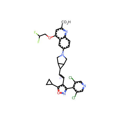 O=C(O)c1cc(OCC(F)F)c2cc(N3CC4C(/C=C/c5c(-c6c(Cl)cncc6Cl)noc5C5CC5)C4C3)ccc2n1